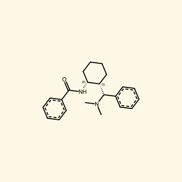 CN(C)C(c1ccccc1)[C@H]1CCCC[C@H]1NC(=O)c1ccccc1